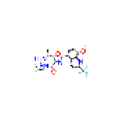 COc1ccc(-c2nc(C(=O)NCC(C)C)c([C@H](C)N)o2)c2ccc(C(F)(F)F)nc12